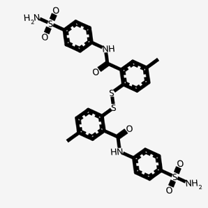 Cc1ccc(SSc2ccc(C)cc2C(=O)Nc2ccc(S(N)(=O)=O)cc2)c(C(=O)Nc2ccc(S(N)(=O)=O)cc2)c1